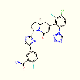 NC(=O)c1cc(-c2cnc([C@@H]3CC[C@H]4CC(c5c(-n6cnnn6)ccc(Cl)c5F)=CC(=O)N43)[nH]2)ccc1F